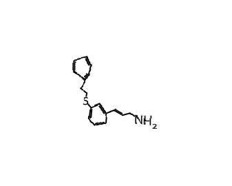 NC/C=C/c1cccc(SCCc2ccccc2)c1